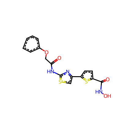 O=C(COc1ccccc1)Nc1nc(-c2ccc(C(=O)NO)s2)cs1